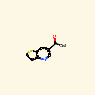 COC(=O)c1cnc2ccsc2c1